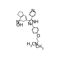 CN(C)CCOc1ccc(-c2nc(C3=CC4=C(CCC4)C(=NO)C3)c(-c3ccncc3)[nH]2)cc1